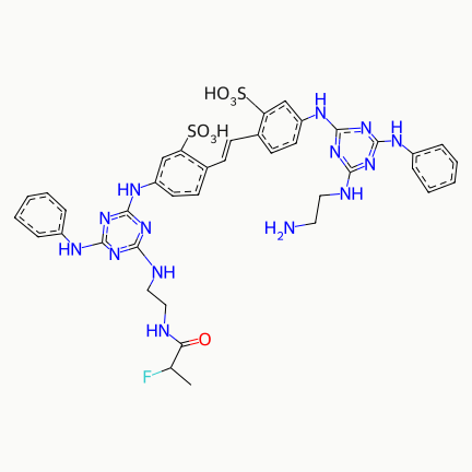 CC(F)C(=O)NCCNc1nc(Nc2ccccc2)nc(Nc2ccc(/C=C/c3ccc(Nc4nc(NCCN)nc(Nc5ccccc5)n4)cc3S(=O)(=O)O)c(S(=O)(=O)O)c2)n1